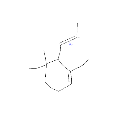 C/[C]=C/C1C(C)=CCCC1(C)C